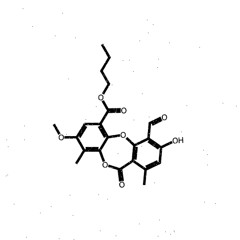 CCCCOC(=O)c1cc(OC)c(C)c2c1Oc1c(C=O)c(O)cc(C)c1C(=O)O2